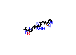 CC(C)c1noc2ccc(CC(C)(C)c3n[nH]c4cc(CC(C)(C)c5snc6ncccc56)cnc34)nc12